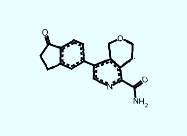 NC(=O)c1ncc(-c2ccc3c(c2)CCC3=O)c2c1[CH]COC2